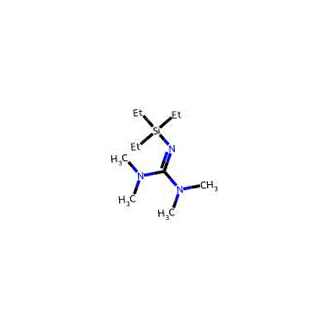 CC[Si](CC)(CC)N=C(N(C)C)N(C)C